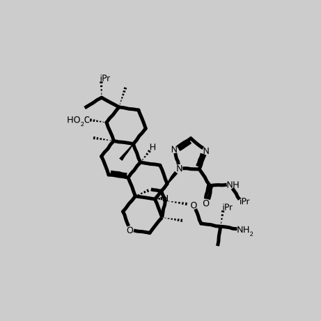 CC(C)NC(=O)c1ncnn1[C@@H]1C[C@@]23COC[C@@](C)([C@@H]2CC[C@H]2C3=CC[C@@]3(C)[C@H](C(=O)O)[C@@](C)([C@H](C)C(C)C)CC[C@]23C)[C@H]1OC[C@](C)(N)C(C)C